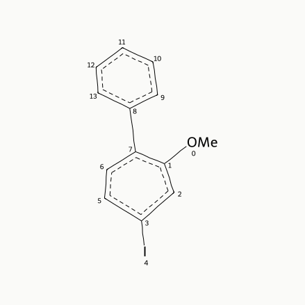 COc1cc(I)ccc1-c1ccccc1